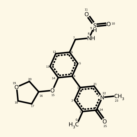 Cc1cc(-c2cc(CN[SH](=O)=O)ccc2OC2CCOC2)cn(C)c1=O